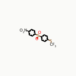 O=[N+]([O-])c1ccc(S(=O)(=O)c2ccc(SC(F)(F)F)cc2)cc1